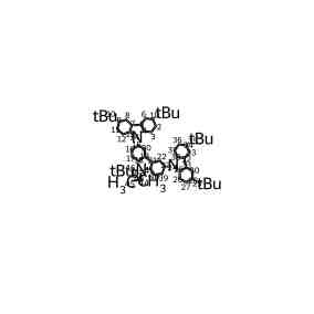 CC(C)(C)c1ccc2c(c1)c1cc(C(C)(C)C)ccc1n2-c1ccc2c(c1)c1cc(-n3c4ccc(C(C)(C)C)cc4c4cc(C(C)(C)C)ccc43)ccc1n2[Si](C)(C)C(C)(C)C